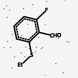 CCSc1cccc(F)c1C=O